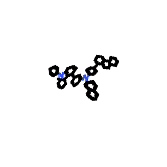 CC12C=CC=CC1c1c(-c3cccc(N(c4ccc(-c5cccc6c5ccc5ccccc56)cc4)c4ccc5ccccc5c4)c3)cccc1N2c1ccccc1